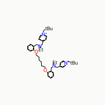 CCN(Cc1cc[n+](CC(C)(C)C)cc1)Cc1ccccc1OCCCCCCOc1ccccc1CN(CC)Cc1cc[n+](CC(C)(C)C)cc1